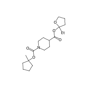 CCC1(OC(=O)C2CCN(C(=O)OC3(C)CCCC3)CC2)CCCO1